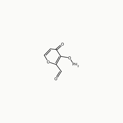 O=Cc1occc(=O)c1OP